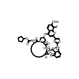 COc1ccc2c(O[C@@H]3C[C@H]4C(=O)N[C@]5(P(=O)(O)Cc6c(F)cccc6F)C[C@H]5CCCCCCC[C@H](NC(=O)OC5CCCC5)C(=O)N4C3)cc(-c3csc(NC(C)C)n3)nc2c1F